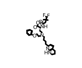 CC(C)(CC(=O)N[C@@H](CCN(CCCCc1ccc2c(n1)NCCC2)CCOc1ccccc1)C(=O)O)C(F)F